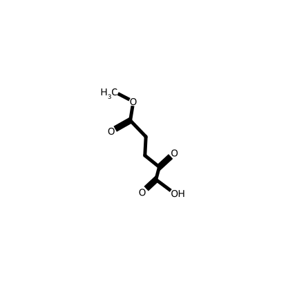 COC(=O)CCC(=O)C(=O)O